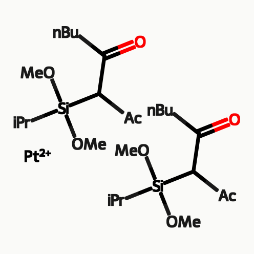 CCCCC(=O)C(C(C)=O)[Si](OC)(OC)C(C)C.CCCCC(=O)C(C(C)=O)[Si](OC)(OC)C(C)C.[Pt+2]